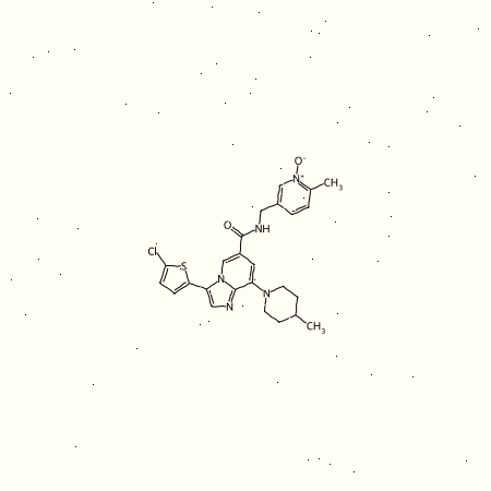 Cc1ccc(CNC(=O)c2cc(N3CCC(C)CC3)c3ncc(-c4ccc(Cl)s4)n3c2)c[n+]1[O-]